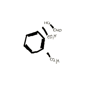 CC(=O)O.CC(=O)O.O=CO.c1ccccc1